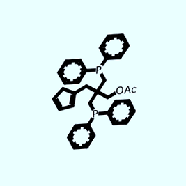 CC(=O)OCC(CC1=CC=CC1)(CP(c1ccccc1)c1ccccc1)CP(c1ccccc1)c1ccccc1